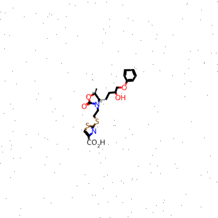 C[C@@H]1OC(=O)N(CCSc2nc(C(=O)O)cs2)[C@H]1CCC(O)COc1ccccc1